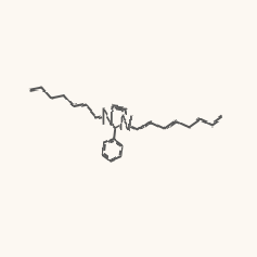 CCCCCCCCN1C=CN(CCCCCCC)C1c1ccccc1